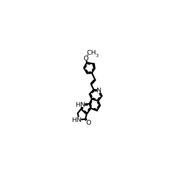 COc1ccc(C=Cc2cc3c(ccc4c5c([nH]c43)CNC5=O)cn2)cc1